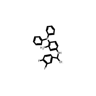 CCC(Bc1ccc(P(c2ccccc2)c2ccccc2)c(P)c1)c1ccc(F)c(F)c1